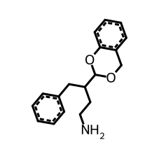 NCCC(Cc1ccccc1)C1OCc2ccccc2O1